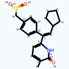 Cc1ccc(/C(=C/C2CCCC2)c2ccc(C[SH](=O)=O)cc2)[nH]c1=O